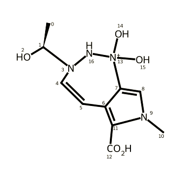 C[C@H](O)N1C=Cc2c(cn(C)c2C(=O)O)[N+](O)(O)N1